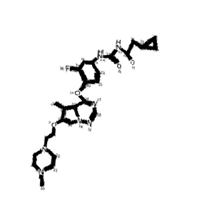 Cc1c(OCCN2CCN(C)CC2)cn2ncnc(Oc3ccc(NC(=O)NC(=O)CC4CC4)cc3F)c12